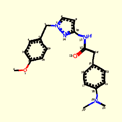 COc1ccc(Cn2ccc(NC(=O)Cc3ccc(N(C)C)cc3)n2)cc1